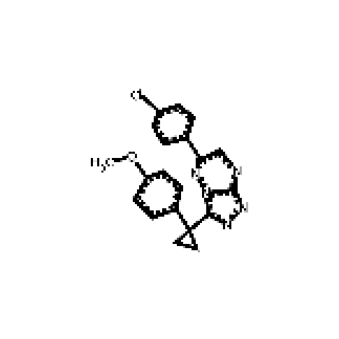 COc1ccc(C2(c3nnc4ncc(-c5ccc(Cl)cc5)nn34)CC2)cc1